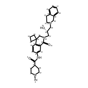 CC(=O)N1CCC(C(=O)Nc2ccc3c(c2)C(=O)N(C[C@H](O)CN2CCc4ccccc4C2)CC32CCC2)CC1